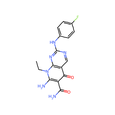 CCn1c(N)c(C(N)=O)c(=O)c2cnc(Nc3ccc(F)cc3)nc21